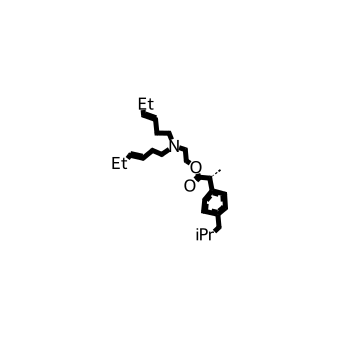 CCC=CCCN(CCC=CCC)CCOC(=O)[C@H](C)c1ccc(CC(C)C)cc1